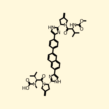 C=C1C[C@@H](c2nc(-c3ccc(-c4ccc5cc(-c6c[nH]c([C@@H]7CC(=C)CN7C(=O)[C@H](C(C)C)N(C)C(=O)O)n6)ccc5c4)cc3)c[nH]2)N(C(=O)[C@@H](NC(=O)OC)C(C)C)C1